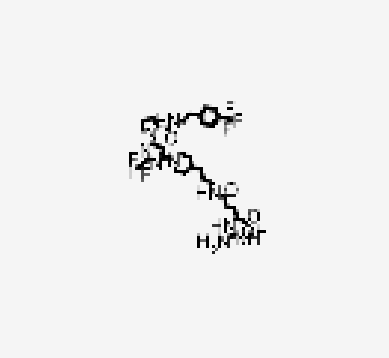 N=C(N)NC(CCC(=O)NCCCC1CCN(c2cc(N3CCC[C@H]3C(=O)NCCc3ccc(C(F)(F)F)cc3)nc(C(F)(F)F)n2)CC1)C(=O)O